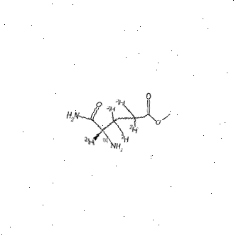 [2H]C([2H])(C(=O)OC)C([2H])([2H])[C@]([2H])(N)C(N)=O